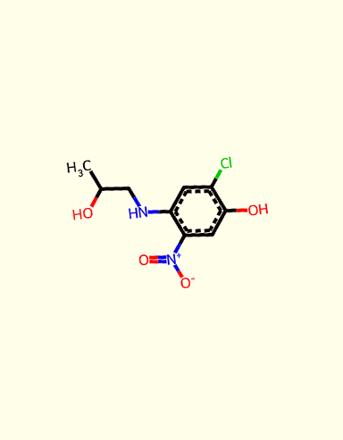 CC(O)CNc1cc(Cl)c(O)cc1[N+](=O)[O-]